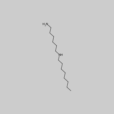 CCCCCCCCNCCCCCCN